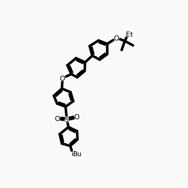 CCC(C)c1ccc(S(=O)(=O)c2ccc(Oc3ccc(-c4ccc(OC(C)(C)CC)cc4)cc3)cc2)cc1